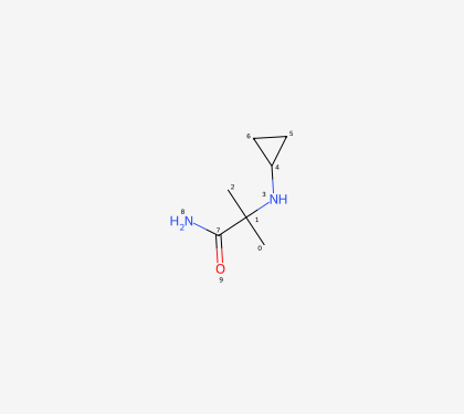 CC(C)(NC1CC1)C(N)=O